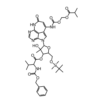 CC(C)C(=O)OCOC(=O)NC1=CC(=O)Nc2ncnc3c2c1cn3C1OC(CO[Si](C)(C)C(C)(C)C)C(OC(=O)C(NC(=O)OCc2ccccc2)C(C)C)C1(C)O